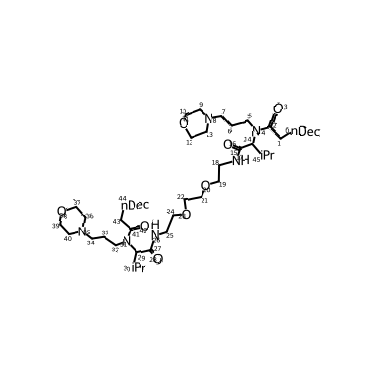 CCCCCCCCCCCC(=O)N(CCCN1CCOCC1)C(C(=O)NCCOCCOCCNC(=O)C(C(C)C)N(CCCN1CCOCC1)C(=O)CCCCCCCCCCC)C(C)C